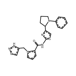 O=C(Nc1nc(C2CCCN2c2ccccc2)cs1)c1cccn1Cc1cnn[nH]1